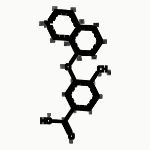 Cc1ccc(C(=O)O)cc1Oc1cccc2ccncc12